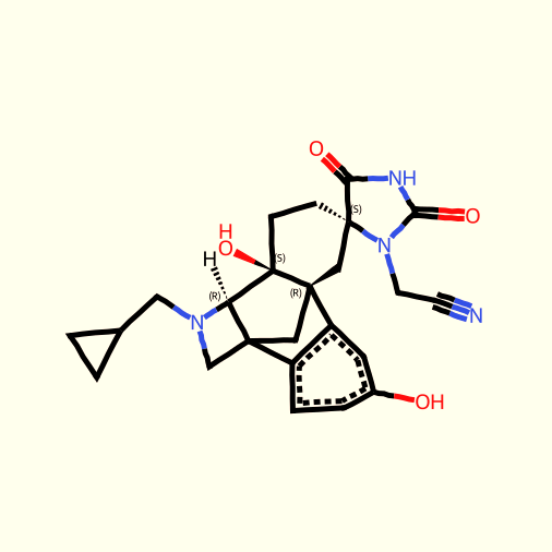 N#CCN1C(=O)NC(=O)[C@@]12CC[C@@]1(O)[C@@H]3N(CC4CC4)CC34C[C@@]1(C2)c1cc(O)ccc14